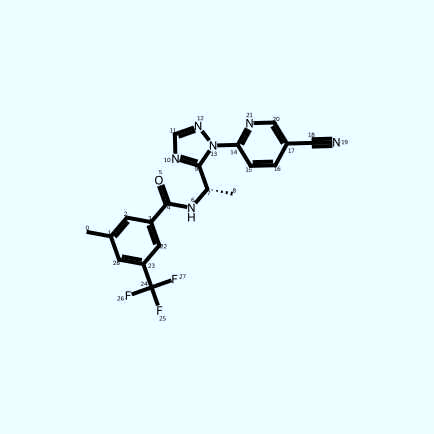 Cc1cc(C(=O)N[C@@H](C)c2ncnn2-c2ccc(C#N)cn2)cc(C(F)(F)F)c1